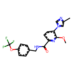 COc1nc(C(=O)NCc2ccc(OC(F)(F)F)cc2)ccc1-n1cnc(C)c1